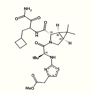 COC(=O)Cc1csc(N[C@H](C(=O)N2C[C@H]3[C@@H]([C@H]2C(=O)NC(CC2CCC2)C(=O)C(N)=O)C3(C)C)C(C)(C)C)n1